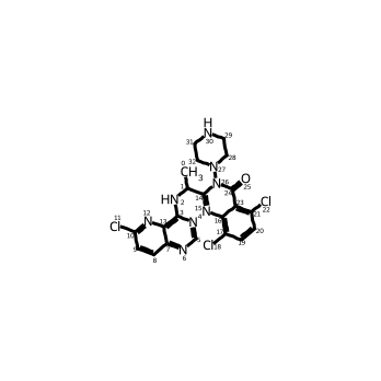 CC(Nc1ncnc2ccc(Cl)nc12)c1nc2c(Cl)ccc(Cl)c2c(=O)n1N1CCNCC1